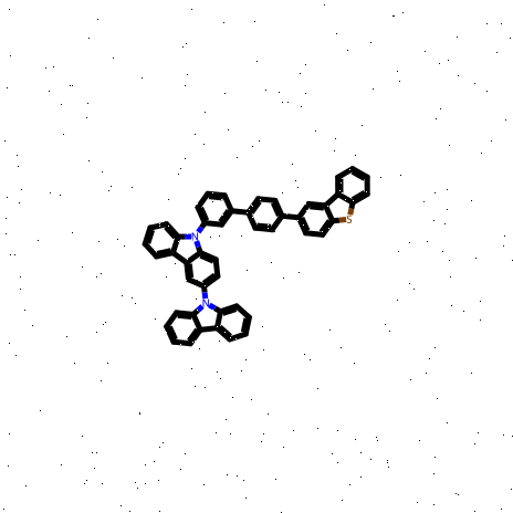 c1cc(-c2ccc(-c3ccc4sc5ccccc5c4c3)cc2)cc(-n2c3ccccc3c3cc(-n4c5ccccc5c5ccccc54)ccc32)c1